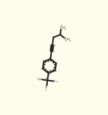 CC(C)CC#Cc1ccc(C(F)(F)F)cc1